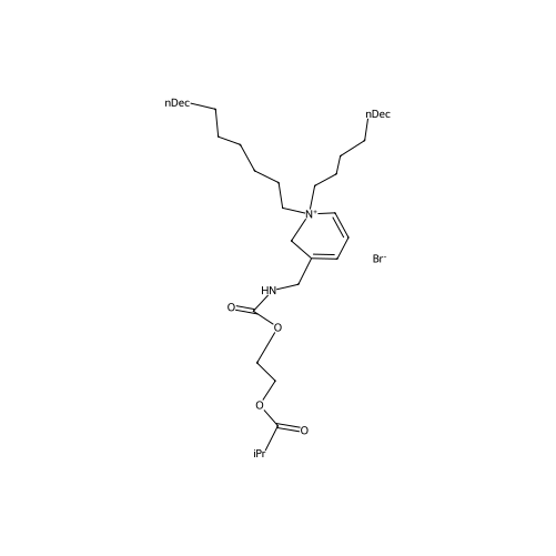 CCCCCCCCCCCCCCCC[N+]1(CCCCCCCCCCCCCC)C=CC=C(CNC(=O)OCCOC(=O)C(C)C)C1.[Br-]